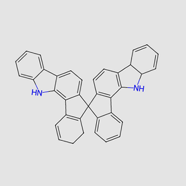 C1=CC2Nc3c(ccc4c3-c3ccccc3C43C4=C(C=CCC4)c4c3ccc3c4[nH]c4ccccc43)C2C=C1